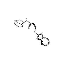 O=C(/C=C\Sc1nc2ccccc2s1)NC1CN2CCC1CC2